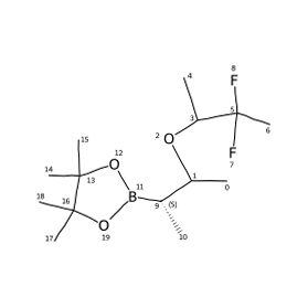 CC(OC(C)C(C)(F)F)[C@H](C)B1OC(C)(C)C(C)(C)O1